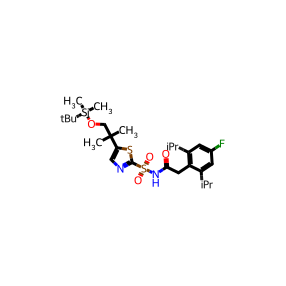 CC(C)c1cc(F)cc(C(C)C)c1CC(=O)NS(=O)(=O)c1ncc(C(C)(C)CO[Si](C)(C)C(C)(C)C)s1